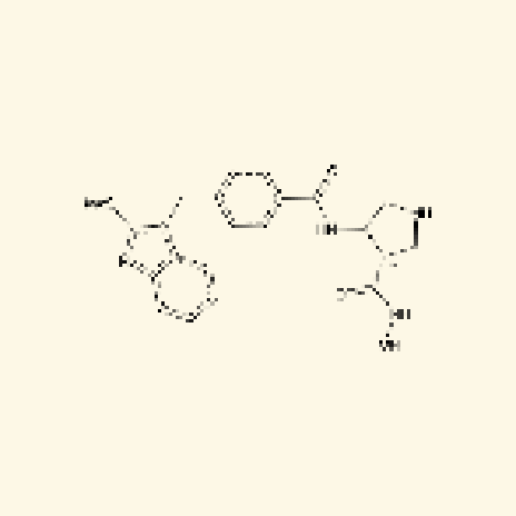 CSc1nc2ccccc2n1Cc1ccc(C(=O)NC2CNC[C@@H]2C(=O)NO)cc1